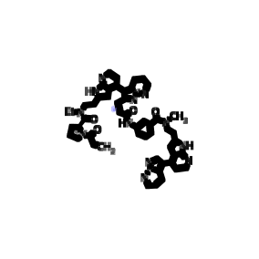 C=CC(=O)N1CCC[C@H]1C(=O)N(CC)CCc1cc2c(-c3c(/C=C\C(=O)Nc4cccc(C(=O)N(C)CCc5cc6c(-c7cnn8ncccc78)ccnc6[nH]5)c4)nn4ncccc34)ccnc2[nH]1